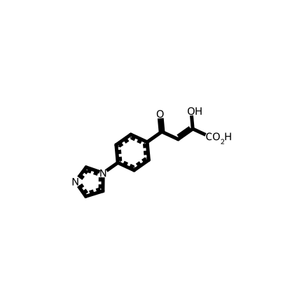 O=C(O)C(O)=CC(=O)c1ccc(-n2ccnc2)cc1